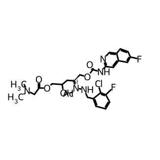 CC(=O)N(NCc1cccc(F)c1Cl)[C@H](COC(=O)Nc1cc2cc(F)ccc2cn1)CC(O)COC(=O)CN(C)C